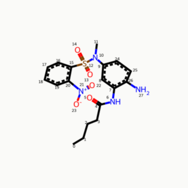 CCCCC(=O)Nc1cc(N(C)S(=O)(=O)c2ccccc2[N+](=O)[O-])ccc1N